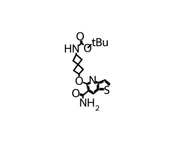 CC(C)(C)OC(=O)NC1CC2(C1)CC(Oc1nc3ccsc3cc1C(N)=O)C2